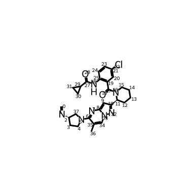 C=N[C@H]1CCN(c2nc3cc([C@@H]4CCCCN4C(=O)c4cc(Cl)ccc4NC(=O)C4CC4)nn3cc2C)C1